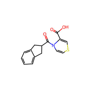 O=C(O)C1=CSC=CN1C(=O)C1Cc2ccccc2C1